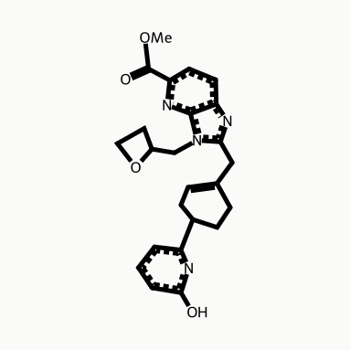 COC(=O)c1ccc2nc(CC3=CCC(c4cccc(O)n4)CC3)n(CC3CCO3)c2n1